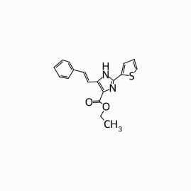 CCOC(=O)c1nc(-c2cccs2)[nH]c1/C=C/c1ccccc1